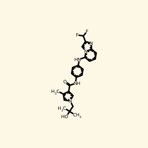 Cc1cn(CC(C)(C)O)cc1C(=O)Nc1ccc(Nc2cccc3nc(C(F)F)cn23)cc1